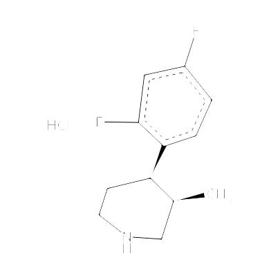 C[C@H]1CNCC[C@H]1c1ccc(F)cc1F.Cl